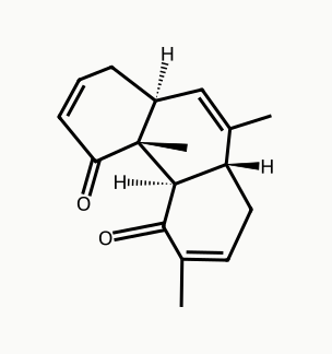 CC1=CC[C@H]2C(C)=C[C@@H]3CC=CC(=O)[C@@]3(C)[C@@H]2C1=O